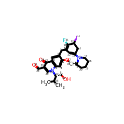 COc1cc2c(cc1CC1=C(F)C(I)CC(N3CCCCC3)=C1)c(=O)c(C=O)cn2[C@H](CO)C(C)C